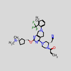 C=CC(=O)N1CCN(c2nc(OC[C@@H]3CC[C@H](N(C)C)C3)nc3c2CCN(c2cccc(C)c2C(F)(F)F)C3)C[C@@H]1CC#N